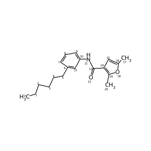 CCCCCCc1cccc(NC(=O)c2cc(C)oc2C)c1